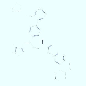 C1CCOC1.CCOc1ccccc1-c1ccc2c(c1)C=C(C(=O)Nc1ccc(CN(C)C3CCCOC3)cc1)CCN2Cc1csnc1C